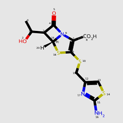 CC(O)C1C(=O)N2C(C(=O)O)=C(SCc3csc(N)n3)S[C@H]12